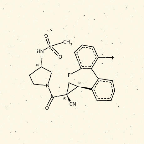 CS(=O)(=O)N[C@H]1CCN(C(=O)[C@]2(C#N)C[C@H]2c2ccccc2-c2c(F)cccc2F)C1